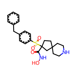 O=C(NO)C1(S(=O)(=O)c2ccc(Cc3ccccc3)cc2)CCC2(CCNCC2)C1